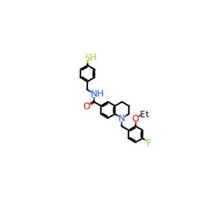 CCOc1cc(F)ccc1CN1CCCc2cc(C(=O)NCc3ccc(S)cc3)ccc21